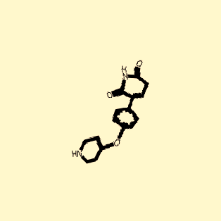 O=C1CC=C(c2ccc(OC3CCNCC3)cc2)C(=O)N1